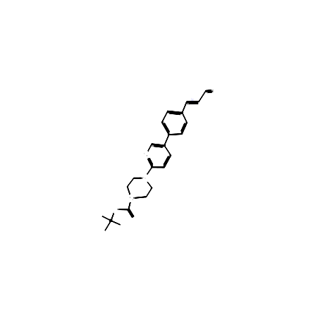 CC(C)(C)OC(=O)N1CCN(c2ccc(-c3ccc(/C=C/C=O)cc3)cn2)CC1